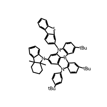 CC(C)(C)c1ccc(N2c3ccc(C(C)(C)C)cc3B3c4cc(C(C)(C)C)ccc4N(c4ccc5c(c4)sc4ccccc45)c4cc(N5c6ccccc6C6(C)CCCCC56C)cc2c43)cc1